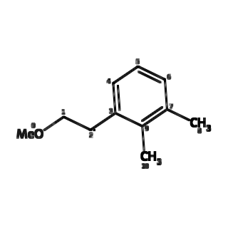 COC[CH]c1cccc(C)c1C